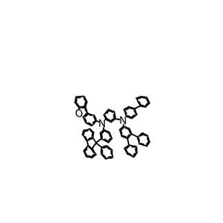 c1ccc(-c2ccc(N(c3cccc(N(c4cccc(C5(c6ccccc6)c6ccccc6-c6ccccc65)c4)c4ccc5oc6ccccc6c5c4)c3)c3ccc(-c4ccccc4)c(-c4ccccc4)c3)cc2)cc1